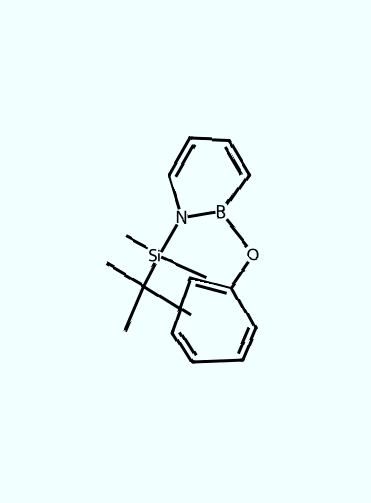 CC(C)(C)[Si](C)(C)N1C=CC=CB1Oc1ccccc1